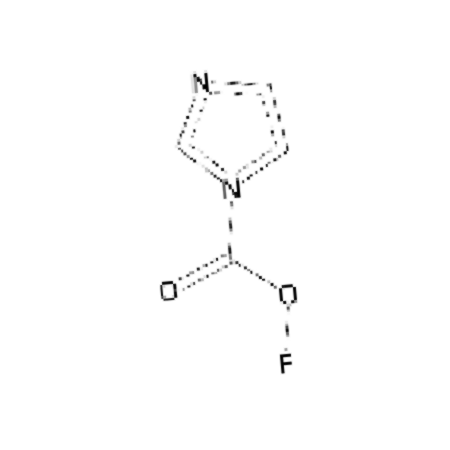 O=C(OF)n1ccnc1